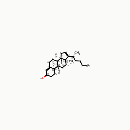 CC(C)CCC[C@@H](C)C1=CC[C@H]2[C@@H]3CCC4=CC(=O)CC[C@]4(C)[C@H]3CC[C@]12C